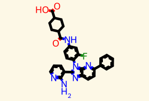 Nc1ncccc1-c1nc2ccc(-c3ccccc3)nc2n1-c1ccc(NC(=O)C2CCC(C(=O)O)CC2)cc1F